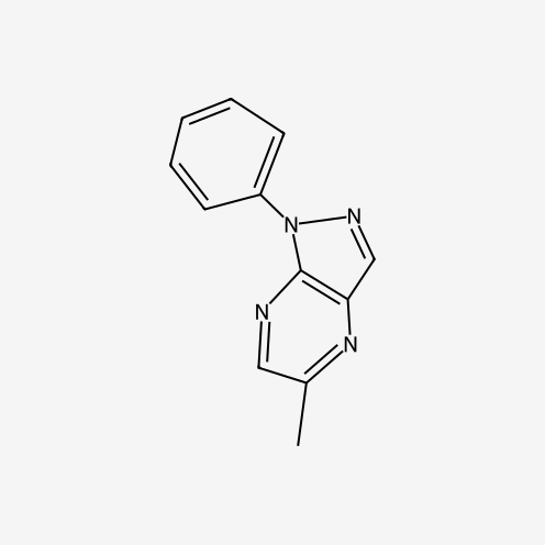 Cc1cnc2c(cnn2-c2ccccc2)n1